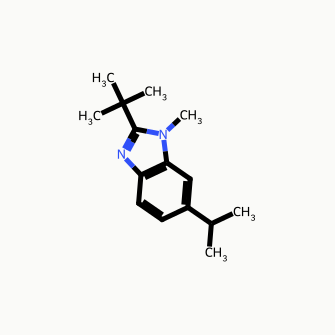 CC(C)c1ccc2nc(C(C)(C)C)n(C)c2c1